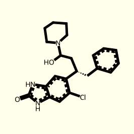 O=c1[nH]c2cc(Cl)c([C@@H](Cc3ccccc3)CC(O)N3CCCCC3)cc2[nH]1